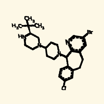 CC(C)(C)[C@H]1CN(C2CCN(C3c4ccc(Cl)cc4CCc4cc(Br)cnc43)CC2)CCN1